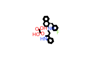 Fc1ccc(C[C@@H]2c3ccccc3CC[C@H]2NCCc2c[nH]c3ccccc23)cc1.O=C(O)C(=O)O